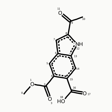 COC(=O)c1cc2cc(C(C)=O)[nH]c2cc1C(=O)O